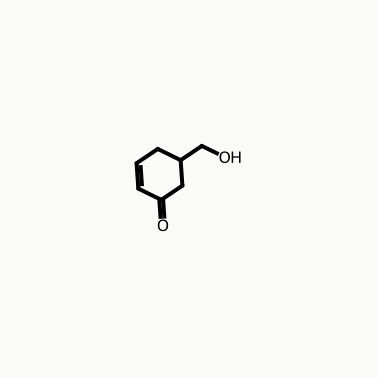 O=C1C=CCC(CO)C1